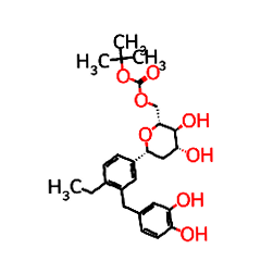 CCc1ccc([C@H]2C[C@@H](O)[C@H](O)[C@@H](COC(=O)OC(C)(C)C)O2)cc1Cc1ccc(O)c(O)c1